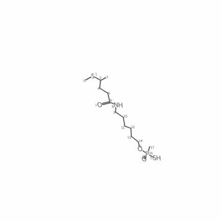 CSC(C)CCC(=O)NCCCCCCOP(C)(=O)S